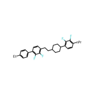 CCCc1ccc(C2CCC(CCc3ccc(-c4ccc(CC)cc4)c(F)c3F)CC2)c(F)c1F